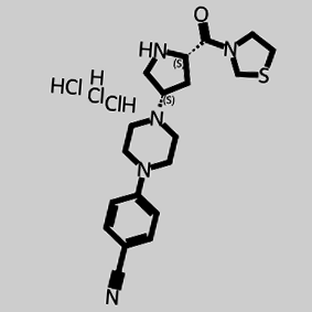 Cl.Cl.Cl.N#Cc1ccc(N2CCN([C@@H]3CN[C@H](C(=O)N4CCSC4)C3)CC2)cc1